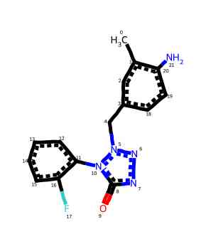 Cc1cc(Cn2nnc(=O)n2-c2ccccc2F)ccc1N